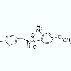 COc1ccc(S(=O)(=O)NCc2ccc(Cl)cc2)c(N)c1